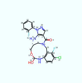 Nc1c(C(=O)N2CCCOC(O)Nc3ccc(Cl)c(F)c3C2)cnn1-c1ccccc1F